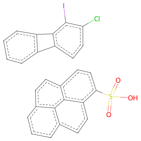 Clc1ccc2c(c1I)-c1ccccc1-2.O=S(=O)(O)c1ccc2ccc3cccc4ccc1c2c34